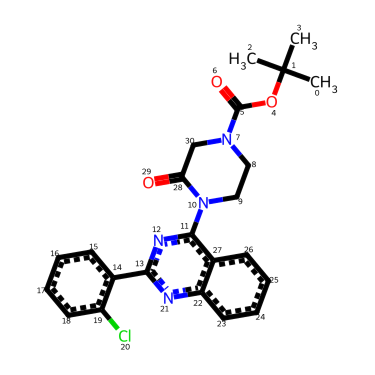 CC(C)(C)OC(=O)N1CCN(c2nc(-c3ccccc3Cl)nc3ccccc23)C(=O)C1